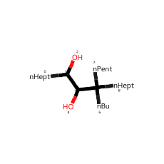 CCCCCCCC(O)C(O)C(CCCC)(CCCCC)CCCCCCC